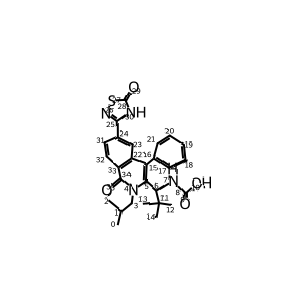 CC(C)Cn1c(C(NC(=O)O)C(C)(C)C)c(-c2ccccc2)c2cc(-c3nsc(=O)[nH]3)ccc2c1=O